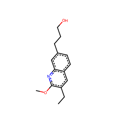 CCc1cc2ccc(CCCO)cc2nc1OC